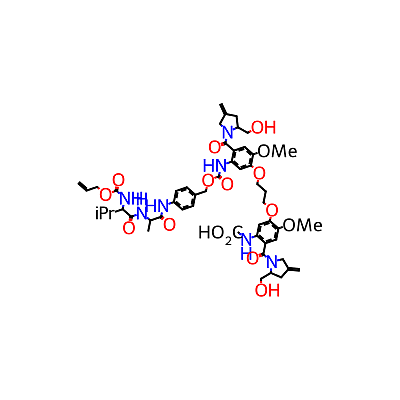 C=CCOC(=O)NC(C(=O)NC(C)C(=O)Nc1ccc(COC(=O)Nc2cc(OCCCOc3cc(NC(=O)O)c(C(=O)N4CC(=C)CC4CO)cc3OC)c(OC)cc2C(=O)N2CC(=C)CC2CO)cc1)C(C)C